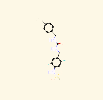 CC(C)(C)c1ccc(CNC(=O)NCc2cc(F)c(NS(C)(=O)=O)cc2F)cc1